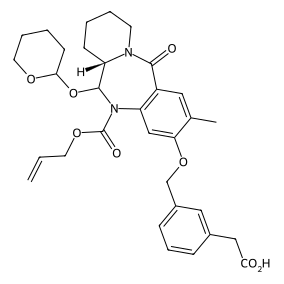 C=CCOC(=O)N1c2cc(OCc3cccc(CC(=O)O)c3)c(C)cc2C(=O)N2CCCC[C@H]2C1OC1CCCCO1